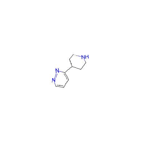 c1cnnc(C2CCNCC2)c1